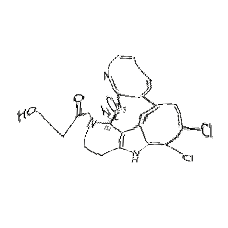 Cc1ncccc1-c1cc(Cl)c(Cl)c2[nH]c3c(c12)[C@H](C)N(C(=O)CO)CC3